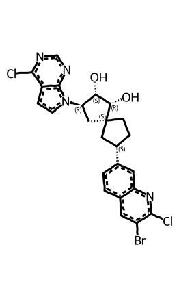 O[C@H]1[C@H](n2ccc3c(Cl)ncnc32)C[C@@]2(CC[C@H](c3ccc4cc(Br)c(Cl)nc4c3)C2)[C@H]1O